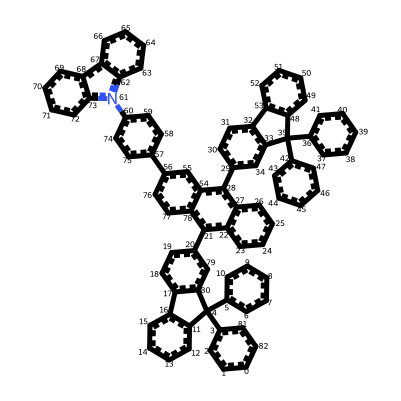 c1ccc(C2(c3ccccc3)c3ccccc3-c3ccc(-c4c5ccccc5c(-c5ccc6c(c5)C(c5ccccc5)(c5ccccc5)c5ccccc5-6)c5cc(-c6ccc(-n7c8ccccc8c8ccccc87)cc6)ccc45)cc32)cc1